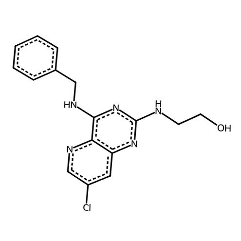 OCCNc1nc(NCc2ccccc2)c2ncc(Cl)cc2n1